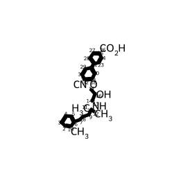 Cc1ccccc1CCCC(C)(C)NCC(O)COc1cc(-c2ccc(C(=O)O)cc2)ccc1C#N